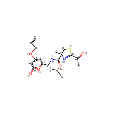 C=CCOc1cc([C@@H](CCC)NC(=O)C2(C)CSC(C(C)=O)=N2)oc(=O)c1